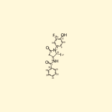 O=C(NC1CC(=O)N(c2ccc(O)c(F)c2)C1I)c1ccccc1